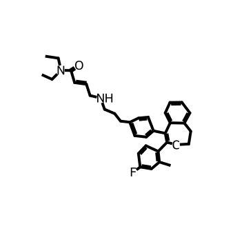 CCN(CC)C(=O)/C=C/CNCCCc1ccc(C2=C(c3ccc(F)cc3C)CCCc3ccccc32)cc1